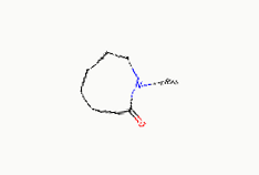 [CH2]CCCN1CCCCCC1=O